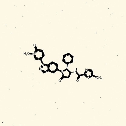 Cc1cnc(C(=O)N[C@@H]2CC(=O)N(c3ccc4c(cnn4-c4ccc(=O)n(C)c4)c3)[C@H]2c2ccccc2)s1